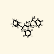 CC[C@H](NC(=O)c1cc(C2CC3CCN(CC3)C2)nc2ccccc12)c1ccccc1